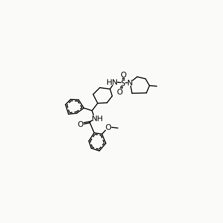 COc1ccccc1C(=O)NC(c1ccccc1)C1CCC(NS(=O)(=O)N2CCC(C)CC2)CC1